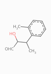 Cc1ccccc1C(C)C(O)C=O